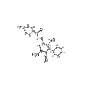 N#Cc1c(N)nc(SCC(=O)c2ccc(F)cc2)c(C#N)c1-c1ccccc1